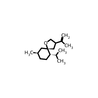 C=C(C)C1CO[C@@]2(C1)C[C@H](C)CC[C@H]2C(C)C